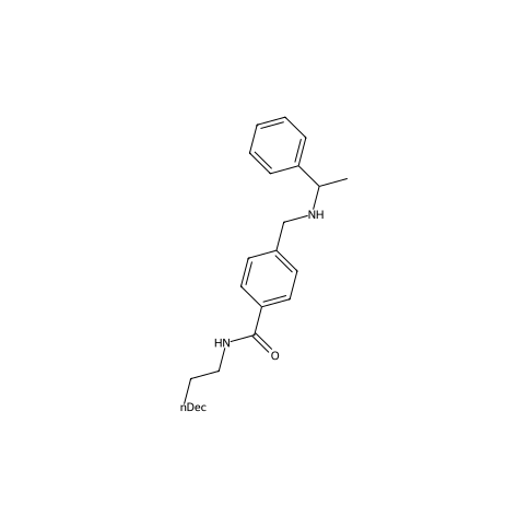 CCCCCCCCCCCCNC(=O)c1ccc(CNC(C)c2ccccc2)cc1